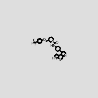 O=C(NC1CCC(c2ccnc3cnc4[nH]ccc4c23)CC1)N1CCCC(COc2ccc(C(F)(F)F)cc2)C1